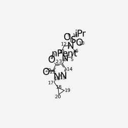 CCCCCOc1c(N2CCN(S(=O)(=O)C(C)C)CC2)cnn(CC2CC2)c1=O